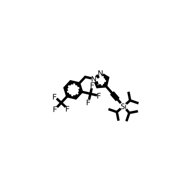 CC(C)[Si](C#Cc1cnn(Cc2ccc(C(F)(F)F)cc2C(F)(F)F)c1)(C(C)C)C(C)C